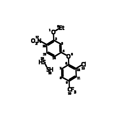 CCOc1cc(Oc2ccc(C(F)(F)F)cc2Cl)ccc1[N+](=O)[O-].SS